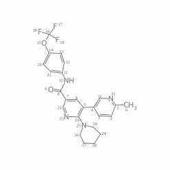 Cc1ccc(-c2cc(C(=O)Nc3ccc(OC(F)(F)F)cc3)cnc2N2CCCCC2)cn1